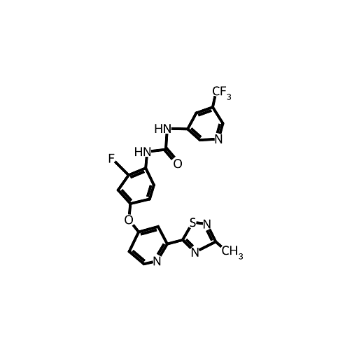 Cc1nsc(-c2cc(Oc3ccc(NC(=O)Nc4cncc(C(F)(F)F)c4)c(F)c3)ccn2)n1